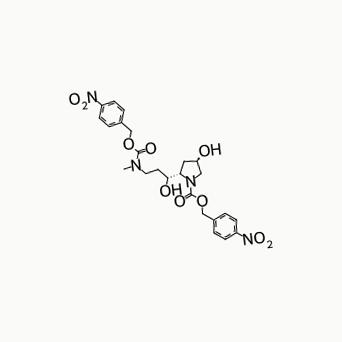 CN(CCC(O)[C@@H]1C[C@@H](O)CN1C(=O)OCc1ccc([N+](=O)[O-])cc1)C(=O)OCc1ccc([N+](=O)[O-])cc1